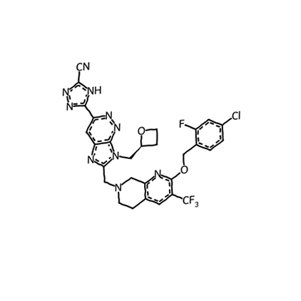 N#Cc1nnc(-c2cc3nc(CN4CCc5cc(C(F)(F)F)c(OCc6ccc(Cl)cc6F)nc5C4)n(C[C@@H]4CCO4)c3nn2)[nH]1